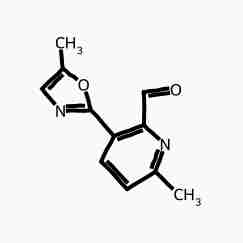 Cc1ccc(-c2ncc(C)o2)c(C=O)n1